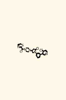 O=C(c1nccs1)N1CCN(C2CC(=O)N(c3cccc(-c4cnccc4Cl)c3)C2)CC1